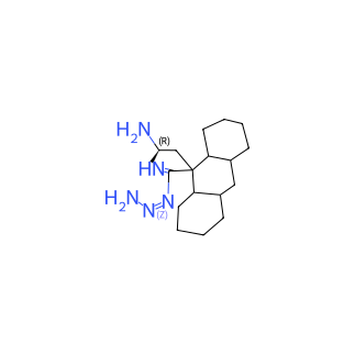 C[C@@H](N)CC1(C(=N)/N=N\N)C2CCCCC2CC2CCCCC21